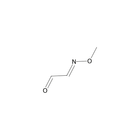 CON=CC=O